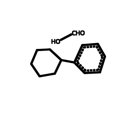 O=CO.c1ccc(C2CCCCC2)cc1